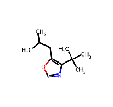 CC(C)Cc1ocnc1C(C)(C)C